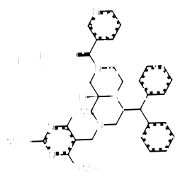 COc1nc(OC)c(CN2CC(C(c3ccccc3)c3ccccc3)N3CCN(C(=O)c4cccnc4)C[C@H]3C2)c(OC)n1.Cl.Cl.Cl